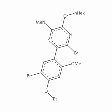 CCCCCCOc1nc(Br)c(-c2cc(Br)c(OCC)cc2OC)nc1NC